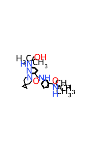 CC(C)(C)NC(=O)c1cccc(NC(=O)c2ccc(NC(C)(C)CO)nc2N2CCC3(CC2)CC3)c1